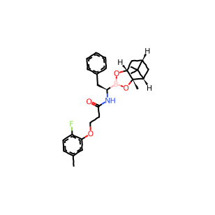 Cc1ccc(F)c(OCCC(=O)N[C@@H](Cc2ccccc2)B2O[C@@H]3C[C@@H]4C[C@@H](C4(C)C)[C@]3(C)O2)c1